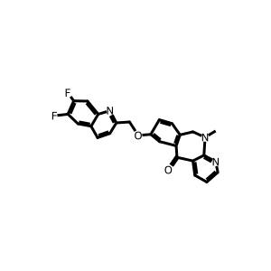 CN1Cc2ccc(OCc3ccc4cc(F)c(F)cc4n3)cc2C(=O)c2cccnc21